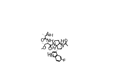 CN[C@@H](C)C(=O)N[C@H](C(=O)N1CC[C@@H]2[C@H]1[C@@H](c1c[nH]c3ccc(F)cc13)CN2C(C)=O)[C@@H](C)OC